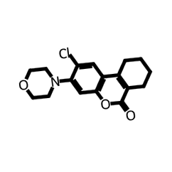 O=c1oc2cc(N3CCOCC3)c(Cl)cc2c2c1CCCC2